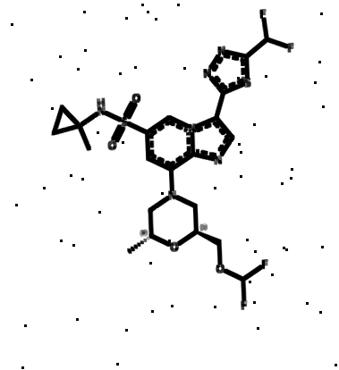 C[C@@H]1CN(c2cc(S(=O)(=O)NC3(C)CC3)cn3c(-c4nnc(C(F)F)s4)cnc23)C[C@@H](COC(F)F)O1